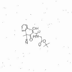 CC(C)(C)OC(=O)CNC(=O)C1=C(O)c2ccccc2C(C)(C#N)C1=O